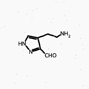 NCCc1c[nH]nc1C=O